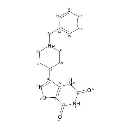 O=c1[nH]c(=O)c2onc(C3CCN(Cc4ccccc4)CC3)c2[nH]1